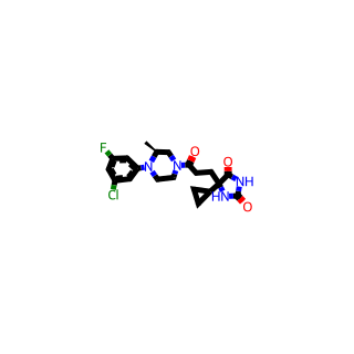 C[C@H]1CN(C(=O)CCC2(C3CC3)NC(=O)NC2=O)CCN1c1cc(F)cc(Cl)c1